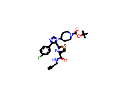 C#CCNC(=O)c1csc(-c2c(-c3ccc(F)cc3)ncn2C2CCN(C(=O)OC(C)(C)C)CC2)n1